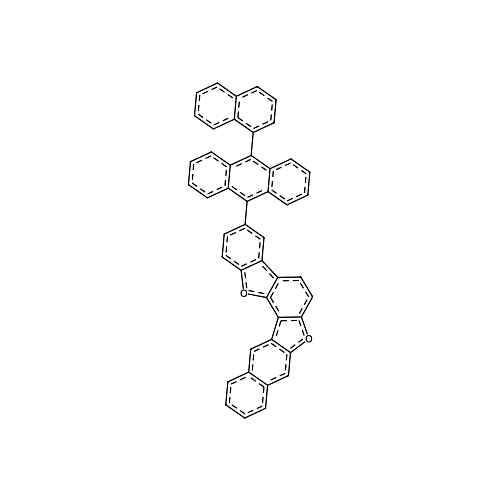 c1ccc2cc3c(cc2c1)oc1ccc2c4cc(-c5c6ccccc6c(-c6cccc7ccccc67)c6ccccc56)ccc4oc2c13